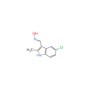 Cc1[nH]c2ccc(Cl)cc2c1C=NO